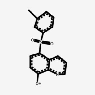 Cc1cccc(S(=O)(=O)c2ccc(O)c3ncccc23)c1